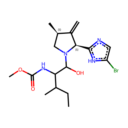 C=C1[C@H](C)CN(C(O)C(NC(=O)OC)C(C)CC)[C@@H]1c1ncc(Br)[nH]1